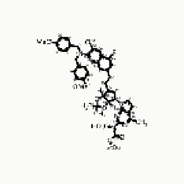 COc1ccc(CN(Cc2ccc(OC)cc2)c2nc3cc(CCC4=C[C@@H](n5ccc6c(C)nc(N(C(=O)O)C(=O)OC(C)(C)C)nc65)[C@@H]5OC(C)(C)O[C@H]45)cc(F)c3cc2Cl)cc1